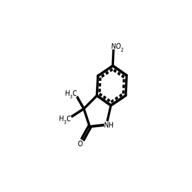 CC1(C)C(=O)Nc2ccc([N+](=O)[O-])cc21